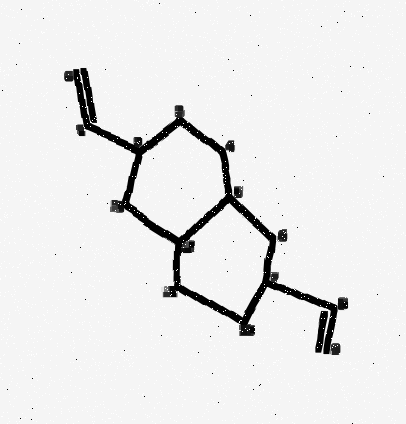 C=CC1CCC2CC(C=C)CCC2C1